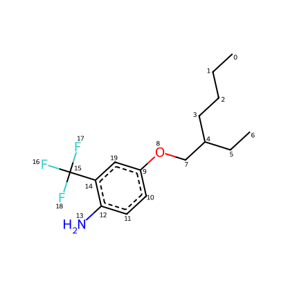 CCCCC(CC)COc1ccc(N)c(C(F)(F)F)c1